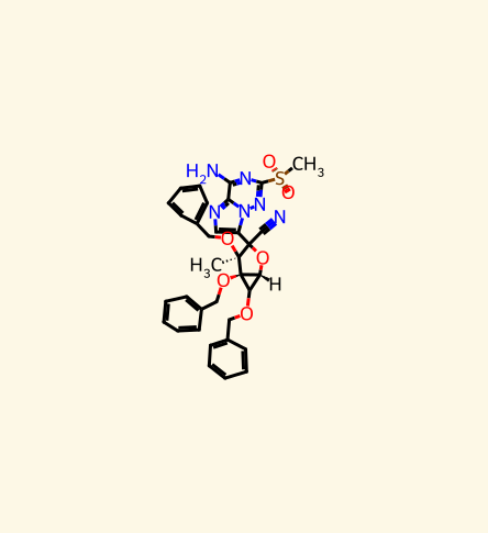 C[C@]1(OCc2ccccc2)C(C#N)(c2cnc3c(N)nc(S(C)(=O)=O)nn23)O[C@@H]2C(OCc3ccccc3)[C@@]21OCc1ccccc1